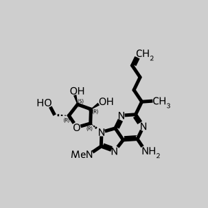 C=CCCC(C)c1nc(N)c2nc(NC)n([C@@H]3O[C@H](CO)[C@@H](O)[C@H]3O)c2n1